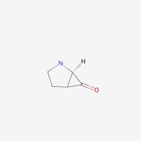 O=C1C2CC[N][C@@H]12